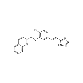 Oc1ccc(/C=C/c2nnn[nH]2)cc1OCc1ccc2ccccc2n1